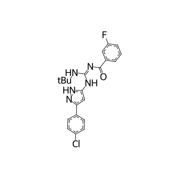 CC(C)(C)N/C(=N/C(=O)c1cccc(F)c1)Nc1cc(-c2ccc(Cl)cc2)n[nH]1